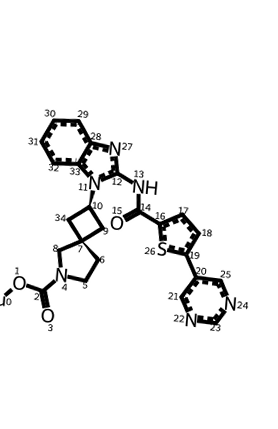 CC(C)(C)OC(=O)N1CC[C@]2(C1)C[C@H](n1c(NC(=O)c3ccc(-c4cncnc4)s3)nc3ccccc31)C2